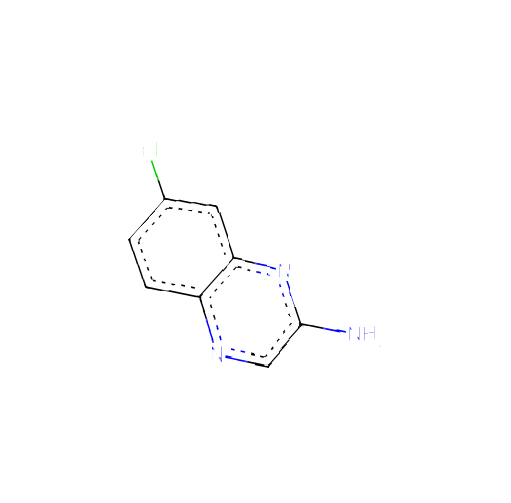 Nc1cnc2ccc(Cl)cc2n1